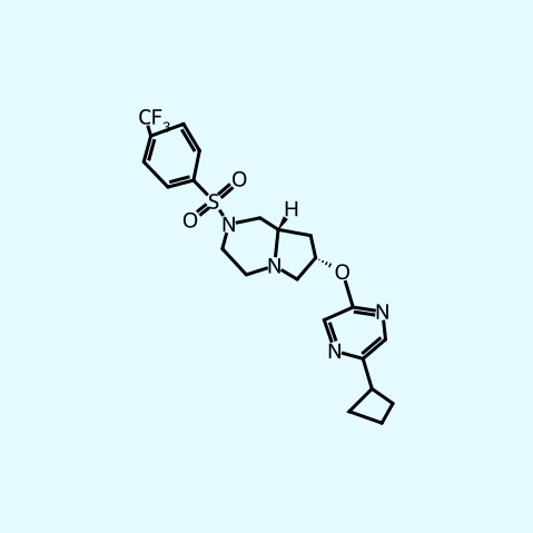 O=S(=O)(c1ccc(C(F)(F)F)cc1)N1CCN2C[C@@H](Oc3cnc(C4CCC4)cn3)C[C@H]2C1